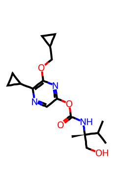 CC(C)[C@](C)(CO)NC(=O)Oc1cnc(C2CC2)c(OCC2CC2)n1